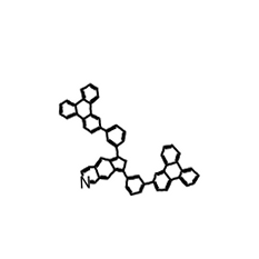 c1cc(C2=c3cc4ccncc4cc3=C(c3cccc(-c4ccc5c6ccccc6c6ccccc6c5c4)c3)C2)cc(-c2ccc3c4ccccc4c4ccccc4c3c2)c1